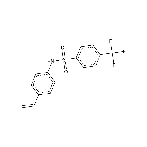 C=Cc1ccc(NS(=O)(=O)c2ccc(C(F)(F)F)cc2)cc1